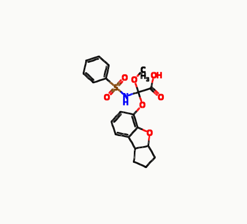 COC(NS(=O)(=O)c1ccccc1)(Oc1cccc2c1OC1CCCC21)C(=O)O